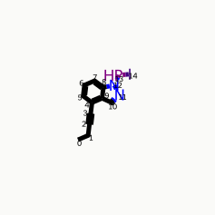 CCC#Cc1cccc2c1cnn2PI